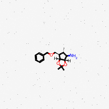 C[C@@H]1C(N)[C@@H]2OC(C)(C)O[C@@H]2[C@H]1COCc1ccccc1